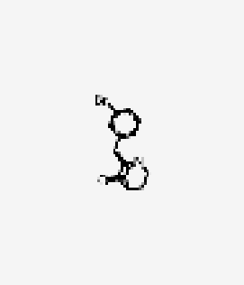 O=C1C(=Cc2cccc(Br)c2)N2CCC1CC2